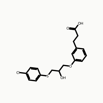 O=C(O)CCc1cccc(OCC(O)CSc2ccc(Cl)cc2)c1